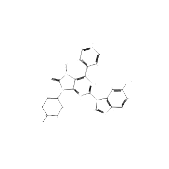 Cn1c(=O)n(C2CCC(O)CC2)c2nc(-n3cnc4ccc(C#N)cc43)nc(-c3ccncc3)c21